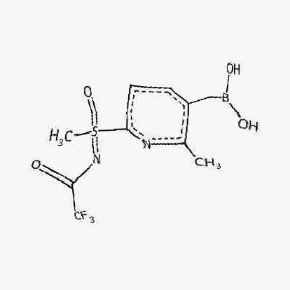 Cc1nc(S(C)(=O)=NC(=O)C(F)(F)F)ccc1B(O)O